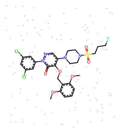 COc1cccc(OC)c1COc1c(N2CCN(S(=O)(=O)CCCF)CC2)cnn(-c2cc(Cl)cc(Cl)c2)c1=O